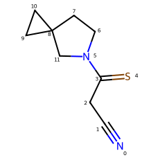 N#CCC(=S)N1CCC2(CC2)C1